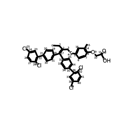 CCC(CSc1ccc(OCC(=O)O)c(C)c1)=C(c1ccc(-c2cc(Cl)ccc2Cl)cc1)c1ccc(-c2cc(Cl)ccc2Cl)cc1